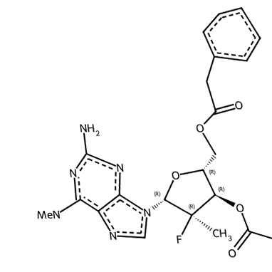 CCC(=O)O[C@@H]1[C@@H](COC(=O)Cc2ccccc2)O[C@@H](n2cnc3c(NC)nc(N)nc32)[C@]1(C)F